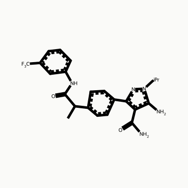 CC(C(=O)Nc1cccc(C(F)(F)F)c1)c1ccc(-c2nn(C(C)C)c(N)c2C(N)=O)cc1